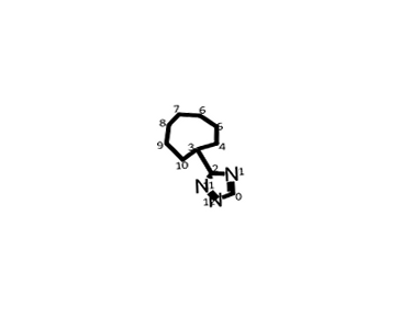 C1=N[C](C2CCCCCCC2)N=N1